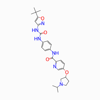 CC(C)N1CCC(Oc2ccc(C(=O)Nc3ccc(NC(=O)Nc4cc(C(C)(C)C)on4)cc3)nc2)C1